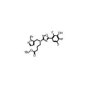 CC(C)n1nccc1CN(CCCC(=O)OC(C)(C)C)c1noc(-c2cc(F)c(F)c(O)c2F)n1